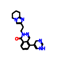 O=c1c2cccc(C3=CNC=NC3)c2cnn1CCc1cn2c(n1)CCCC2